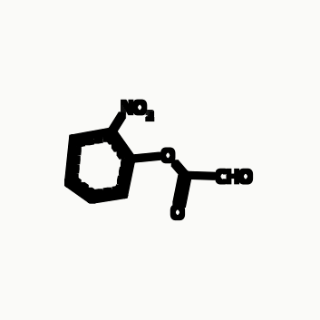 O=CC(=O)Oc1ccccc1[N+](=O)[O-]